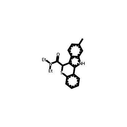 CCN(CC)C(=O)C1Sc2ccccc2-c2[nH]c3cc(C)ccc3c21